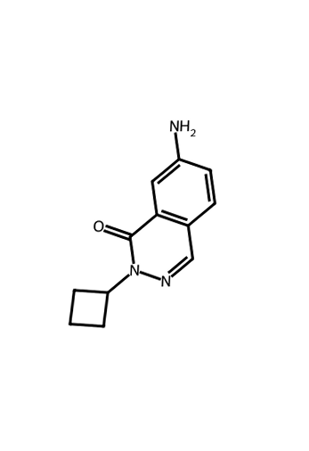 Nc1ccc2cnn(C3CCC3)c(=O)c2c1